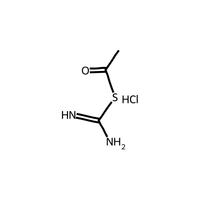 CC(=O)SC(=N)N.Cl